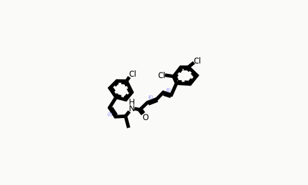 CC(/C=C\c1ccc(Cl)cc1)NC(=O)/C=C/C=C/c1ccc(Cl)cc1Cl